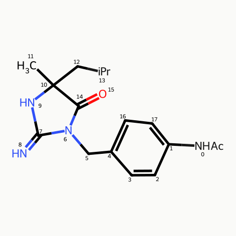 CC(=O)Nc1ccc(CN2C(=N)NC(C)(CC(C)C)C2=O)cc1